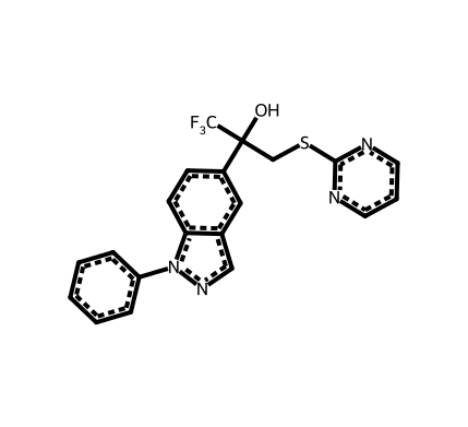 OC(CSc1ncccn1)(c1ccc2c(cnn2-c2ccccc2)c1)C(F)(F)F